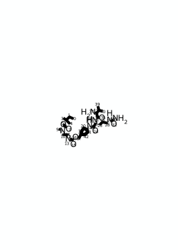 CCC(C)(C)OC(=O)N(C)CCN(C)C(=O)OCc1ccc(NC(=O)[C@@H](CCCNC(N)=O)NC(=O)[C@H](N)C(C)C)cc1